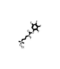 CCO[Si](C)(C)CCCN(F)C(=O)Oc1cc(F)c(F)c(F)c1F